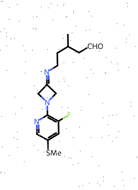 CSc1cnc(N2CC(=NCCC(C)CC=O)C2)c(F)c1